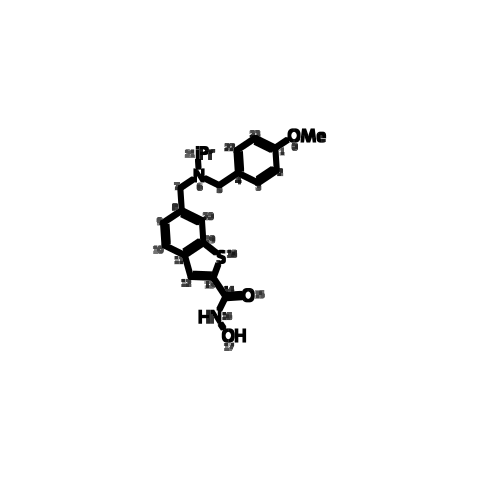 COc1ccc(CN(Cc2ccc3cc(C(=O)NO)sc3c2)C(C)C)cc1